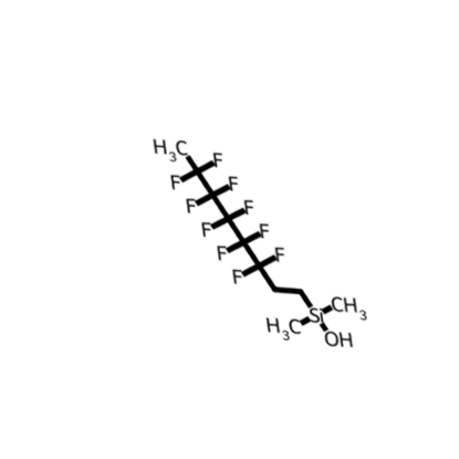 CC(F)(F)C(F)(F)C(F)(F)C(F)(F)C(F)(F)CC[Si](C)(C)O